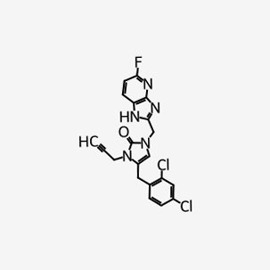 C#CCn1c(Cc2ccc(Cl)cc2Cl)cn(Cc2nc3nc(F)ccc3[nH]2)c1=O